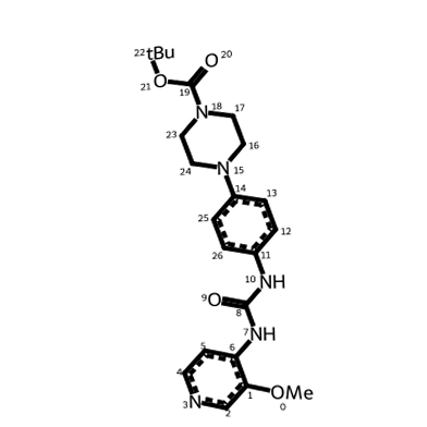 COc1cnccc1NC(=O)Nc1ccc(N2CCN(C(=O)OC(C)(C)C)CC2)cc1